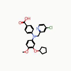 COc1ccc(N(Cc2cc(Cl)ccn2)c2ccc(C(=O)O)cc2)cc1OC1CCCC1